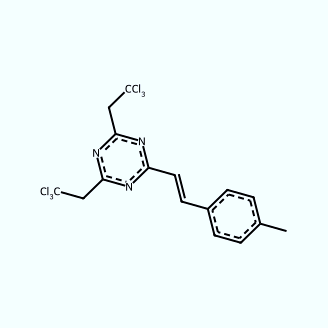 Cc1ccc(C=Cc2nc(CC(Cl)(Cl)Cl)nc(CC(Cl)(Cl)Cl)n2)cc1